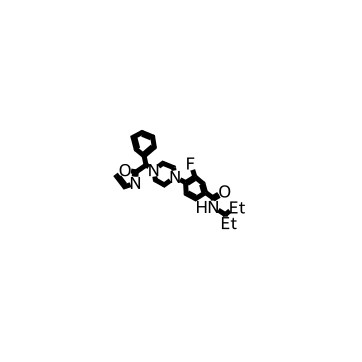 CCC(CC)NC(=O)c1ccc(N2CCN(C(c3ccccc3)c3ncco3)CC2)c(F)c1